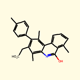 Cc1ccc(-c2c(CC(=O)O)c(C)c3nc(O)c4c(C)cccc4c3c2C)cc1